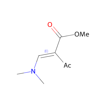 COC(=O)/C(=C/N(C)C)C(C)=O